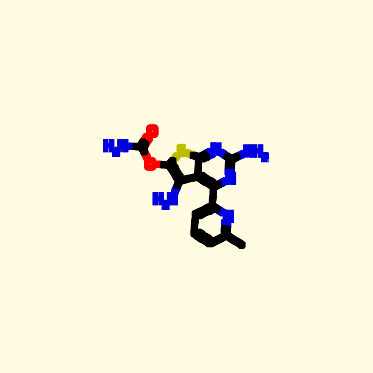 Cc1cccc(-c2nc(N)nc3sc(OC(N)=O)c(N)c23)n1